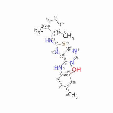 Cc1ccc(Nc2ncnc3sc(Nc4c(C)cccc4C)nc23)c(O)c1